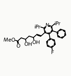 COC(=O)CC(O)CC(O)C=Cc1c(C(C)C)nc(C(C)C)c(-c2ccccc2)c1-c1ccc(F)cc1